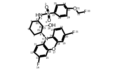 O=S(=O)(N[C@@H]1CCC[C@H](N2c3ccc(F)cc3Oc3cc(F)ccc32)[C@H]1O)c1ccc(OCF)cc1